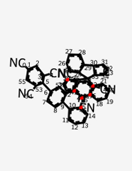 N#Cc1cc(C#N)c(-c2ccc(-c3ccccc3N3c4ccccc4C4(c5ccccc5-c5ccccc54)c4ccccc43)c(-c3c(C#N)cc(C#N)cc3C#N)c2)c(C#N)c1